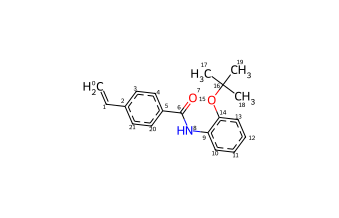 C=Cc1ccc(C(=O)Nc2ccccc2OC(C)(C)C)cc1